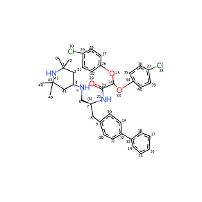 CC1(C)CC(NC[C@H](Cc2ccc(-c3ccccc3)cc2)NC(=O)C(Oc2ccc(Cl)cc2)Oc2ccc(Cl)cc2)CC(C)(C)N1